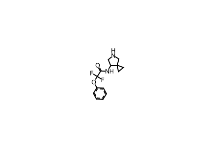 O=C(NC1CNCC12CC2)C(F)(F)Oc1ccccc1